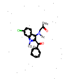 CCOC(=O)n1c(C(=O)c2ccccc2)c(N(CC(=O)OC)C(C)=O)c2ccc(Cl)cc21